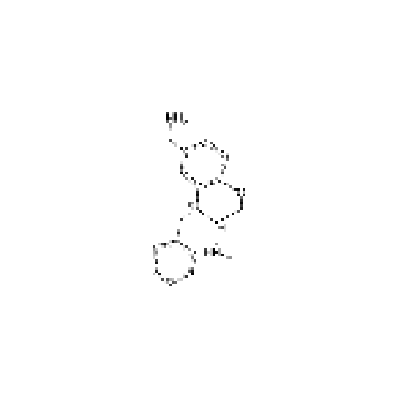 CN[C@H]1COc2ccc(CN)cc2[C@H]1Cc1ccccc1